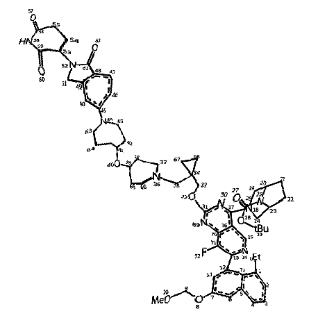 CCc1cccc2cc(OCOC)cc(-c3ncc4c(N5CC6CCC(C5)N6C(=O)OC(C)(C)C)nc(OCC5(CN6CCC(OC7CCN(c8ccc9c(c8)CN(C8CCC(=O)NC8=O)C9=O)CC7)CC6)CC5)nc4c3F)c12